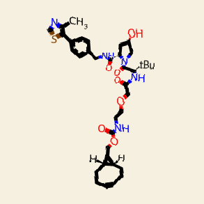 Cc1ncsc1-c1ccc(CNC(=O)[C@@H]2C[C@@H](O)CN2C(=O)[C@@H](NC(=O)COCCNC(=O)OCC2[C@H]3CCC#CCC[C@@H]23)C(C)(C)C)cc1